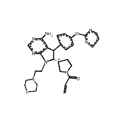 C=CC(=O)N1CC[C@@H](C2C(c3ccc(Oc4ncccn4)cc3)c3c(N)ncnc3N2CCN2CCOCC2)C1